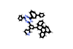 c1ccc(-c2cccc(-c3nc(-c4ccccc4)nc(-c4cc(-c5cccnc5)cc(-c5cc6c7ccccc7c7ccccc7c6c6ccccc56)c4)n3)c2)cc1